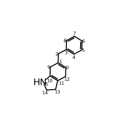 C1=C(Cc2ccccc2)CC2=C(C1)CCN2